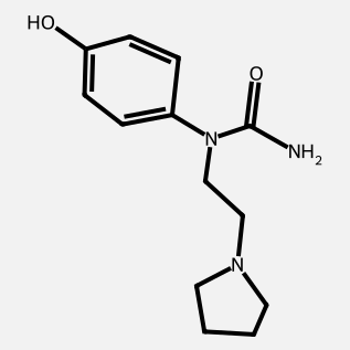 NC(=O)N(CCN1CCCC1)c1ccc(O)cc1